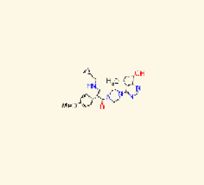 COc1ccc([C@@H](CNCC2CC2)C(=O)N2CCN(c3ncnc4c3[C@H](C)C[C@H]4O)CC2)cc1